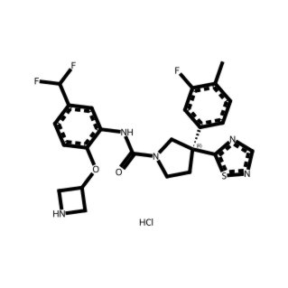 Cc1ccc([C@]2(c3ncns3)CCN(C(=O)Nc3cc(C(F)F)ccc3OC3CNC3)C2)cc1F.Cl